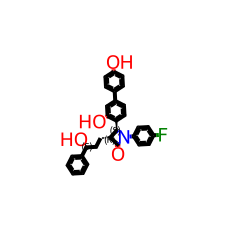 O=C1[C@H](CC[C@H](O)c2ccccc2)[C@@H](c2ccc(-c3ccc(O)cc3)cc2O)N1c1ccc(F)cc1